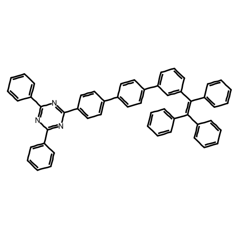 c1ccc(C(=C(c2ccccc2)c2cccc(-c3ccc(-c4ccc(-c5nc(-c6ccccc6)nc(-c6ccccc6)n5)cc4)cc3)c2)c2ccccc2)cc1